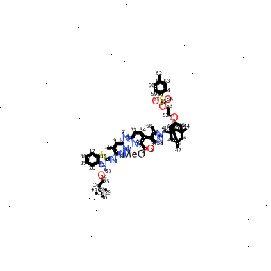 COC(=O)c1nc(N(C)c2cc(C)c(/N=c3\sc4ccccc4n3COCC[Si](C)(C)C)nn2)ccc1-c1cnn(CC23CC4(C)CC(C)(C2)CC(OCCOS(=O)(=O)c2ccc(C)cc2)(C4)C3)c1C